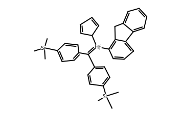 C[Si](C)(C)c1ccc([C](c2ccc([Si](C)(C)C)cc2)=[Hf]([c]2cccc3c2Cc2ccccc2-3)[CH]2C=CC=C2)cc1